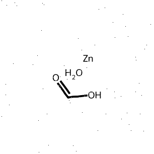 O.O=CO.[Zn]